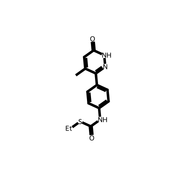 CCSC(=O)Nc1ccc(-c2n[nH]c(=O)cc2C)cc1